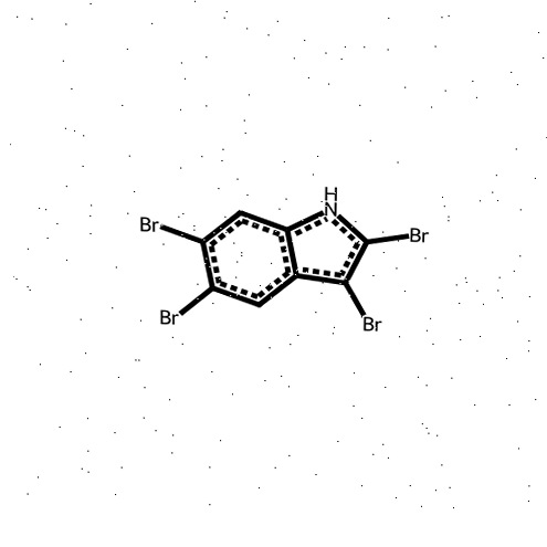 Brc1cc2[nH]c(Br)c(Br)c2cc1Br